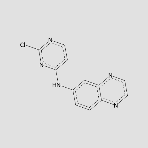 Clc1nccc(Nc2ccc3nccnc3c2)n1